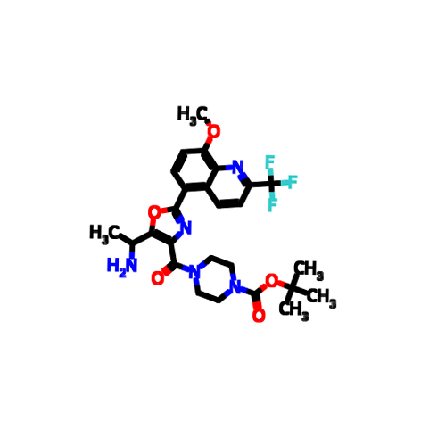 COc1ccc(-c2nc(C(=O)N3CCN(C(=O)OC(C)(C)C)CC3)c(C(C)N)o2)c2ccc(C(F)(F)F)nc12